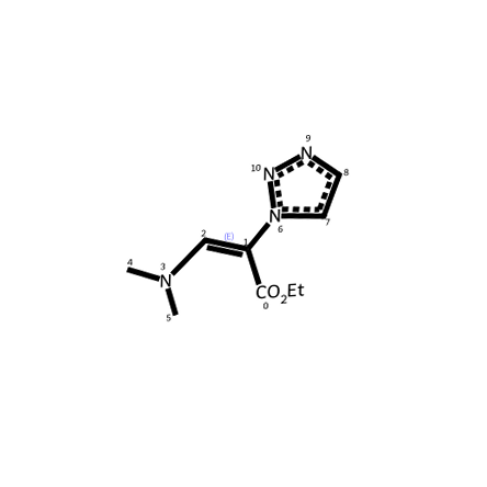 CCOC(=O)/C(=C\N(C)C)n1ccnn1